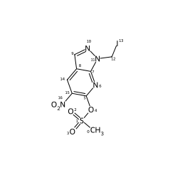 CS(=O)(=O)Oc1nc2c(cnn2CI)cc1[N+](=O)[O-]